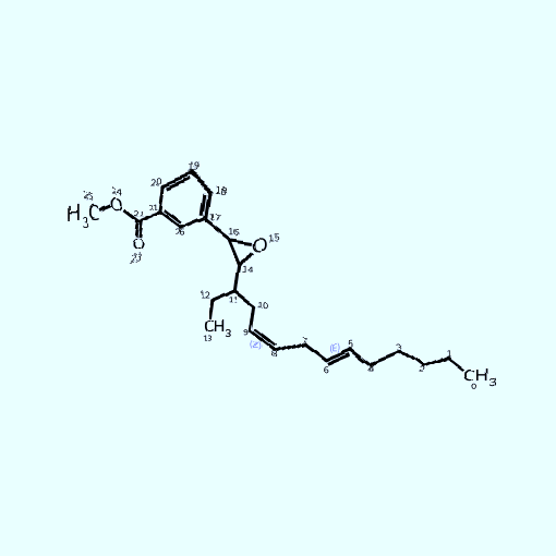 CCCCC/C=C/C/C=C\CC(CC)C1OC1c1cccc(C(=O)OC)c1